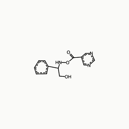 O=C(ONC(CO)c1ccccc1)c1cncnc1